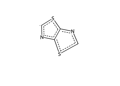 [c]1nc2scnc2s1